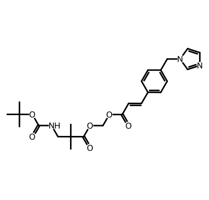 CC(C)(C)OC(=O)NCC(C)(C)C(=O)OCOC(=O)/C=C/c1ccc(Cn2ccnc2)cc1